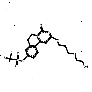 O=c1nc(OCCCOCCO)cc2n1CCc1cc(OS(=O)(=O)C(F)(F)F)ccc1-2